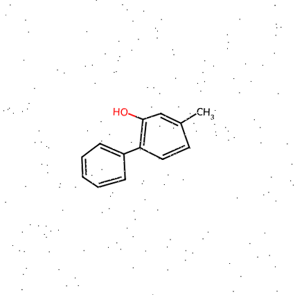 Cc1ccc(-c2ccccc2)c(O)c1